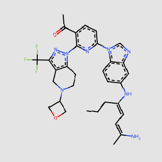 CCC/C(=C\C=C(\C)N)Nc1ccc2c(c1)ncn2-c1ccc(C(C)=O)c(-n2nc(C(F)(F)F)c3c2CCN(C2COC2)C3)n1